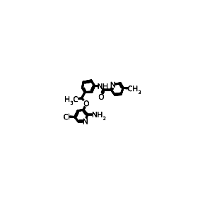 Cc1ccc(C(=O)Nc2cccc(C(C)Oc3cc(Cl)cnc3N)c2)nc1